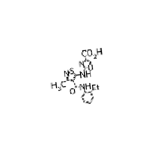 CCc1ccccc1NC(=O)c1c(C)nsc1Nc1nc(C(=O)O)co1